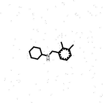 Cc1cccc(CNC2CCCCC2)c1C